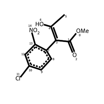 COC(=O)C(=C(C)O)c1ccc(Cl)cc1[N+](=O)[O-]